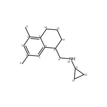 Cc1cc(C)c2c(c1)C(CNC1CC1)CCC2